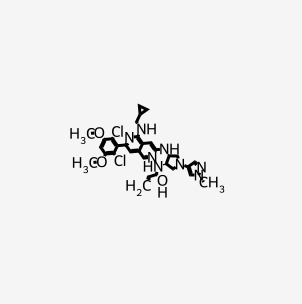 C=CC(O)N[C@H]1CN(c2cnn(C)c2)C[C@H]1Nc1cc2c(NCC3CC3)nc(-c3c(Cl)c(OC)cc(OC)c3Cl)cc2cn1